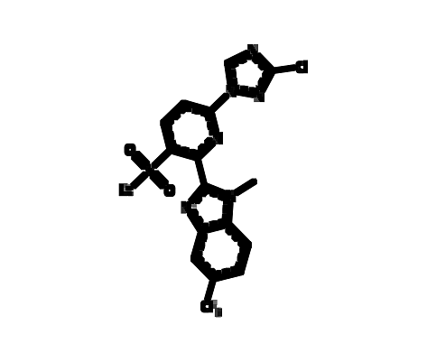 CCS(=O)(=O)c1ccc(-n2cnc(Cl)n2)nc1-c1nc2cc(C(F)(F)F)ccc2n1C